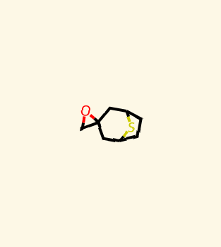 C1CC2CC3(CO3)CC1S2